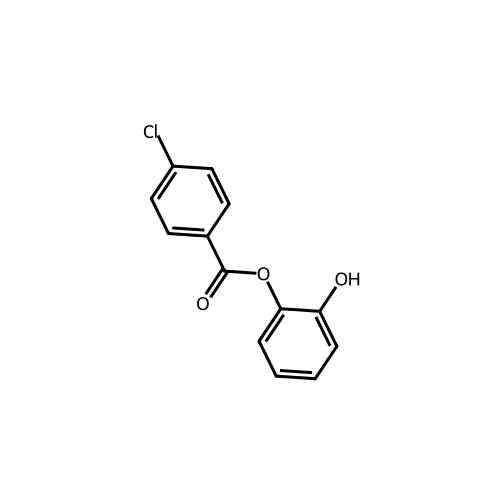 O=C(Oc1ccccc1O)c1ccc(Cl)cc1